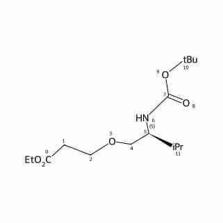 CCOC(=O)CCOC[C@@H](NC(=O)OC(C)(C)C)C(C)C